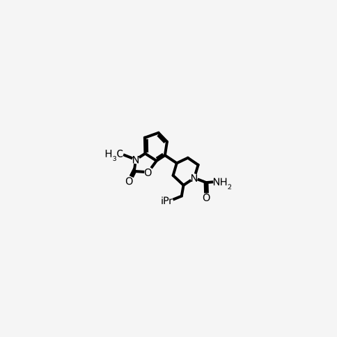 CC(C)CC1CC(c2cccc3c2oc(=O)n3C)CCN1C(N)=O